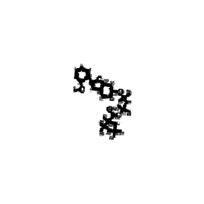 COc1ccccc1-c1cc2ccc(OC(C)(C)CC(C)(C)OC(=O)C(C)(CC(C)(C)C)C(C)(C)C)cc2o1